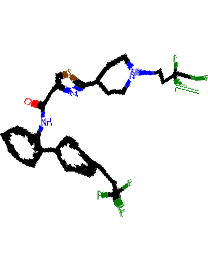 O=C(Nc1ccccc1-c1ccc(CC(F)(F)F)cc1)c1csc(C2CCN(CCC(F)(F)F)CC2)n1